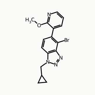 COc1ncccc1-c1ccc2c(nnn2CC2CC2)c1Br